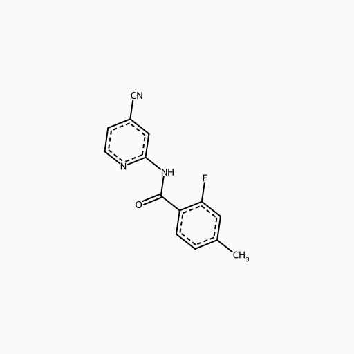 Cc1ccc(C(=O)Nc2cc(C#N)ccn2)c(F)c1